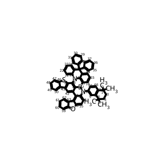 CC1(C)CCC(C)(C)c2cc(N3B4c5cccc6c5N(c5ccccc5C6(c5ccccc5)c5ccccc5)c5c4c(cc4c5sc5ccccc54)-c4c3ccc3oc5ccccc5c43)ccc21